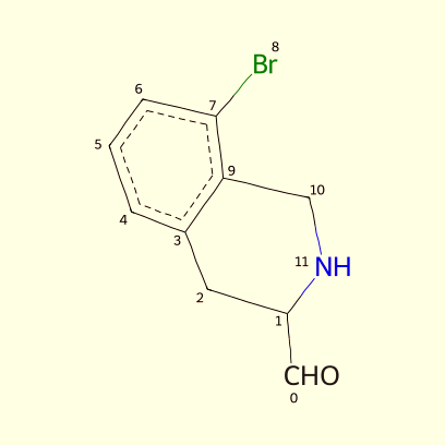 O=CC1Cc2cccc(Br)c2CN1